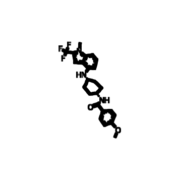 COc1ccc(C(=O)N[C@H]2CC[C@@H](Nc3cccc4c3cc(C(F)(F)F)n4C)CC2)cc1